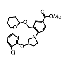 COC(=O)c1ccc(N2CCC(Oc3ncccc3Cl)C2)c(COC2CCCCO2)c1